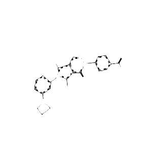 CC(=O)c1ccc(-n2ncc3c(C)n(-c4cccc(N5CCC5)c4)c(C)c3c2=O)cc1